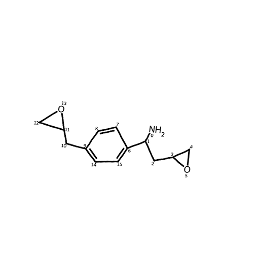 N[C](CC1CO1)c1ccc(CC2CO2)cc1